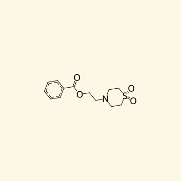 O=C(OCCN1CCS(=O)(=O)CC1)c1ccccc1